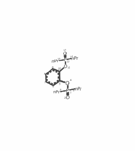 CCCP(=O)(CCC)Oc1ccccc1OP(=O)(CCC)CCC